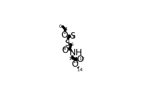 CCOC(=S)SCC(=O)NCC(=O)OC